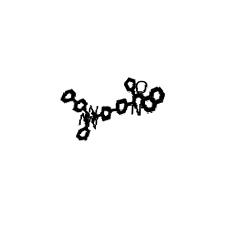 c1ccc(-c2ccc(-c3nc(-c4ccccc4)nc(-c4ccc(-c5ccc(-c6nc7ccc8ccccc8c7c7oc8ccccc8c67)cc5)cc4)n3)cc2)cc1